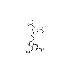 CCC(=O)OCC(COC(=O)CC)OCn1cnc2c(N)nc(NC)nc21